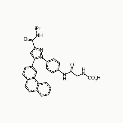 CC(C)NC(=O)c1cc(-c2ccc3ccc4ccccc4c3c2)n(-c2ccc(NC(=O)CNC(=O)O)cc2)n1